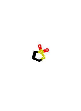 O=S1(=O)C=CCS1